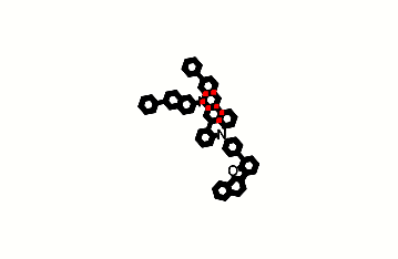 c1ccc(-c2cccc(N(c3cccc(-c4ccccc4N(c4ccc(-c5cccc6c5oc5c7ccccc7ccc65)cc4)c4cccc(-c5ccccc5)c4)c3)c3ccc4cc(-c5ccccc5)ccc4c3)c2)cc1